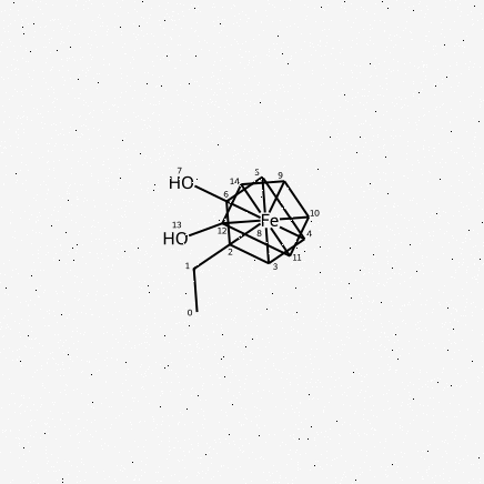 CC[C]12[CH]3[CH]4[CH]5[C]1(O)[Fe]45321678[CH]2[CH]1[CH]6[C]7(O)[CH]28